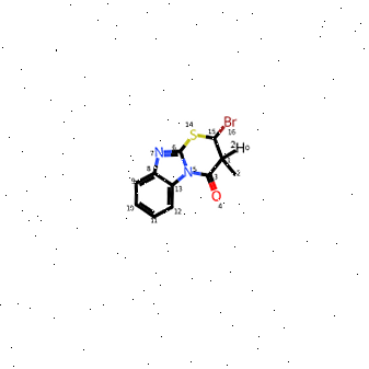 [2H]C1(C)C(=O)n2c(nc3ccccc32)SC1Br